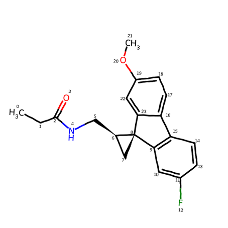 CCC(=O)NC[C@@H]1C[C@@]12c1cc(F)ccc1-c1ccc(OC)cc12